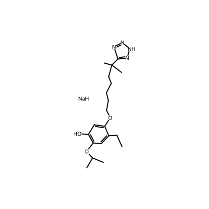 CCc1cc(OC(C)C)c(O)cc1OCCCCCC(C)(C)c1nn[nH]n1.[NaH]